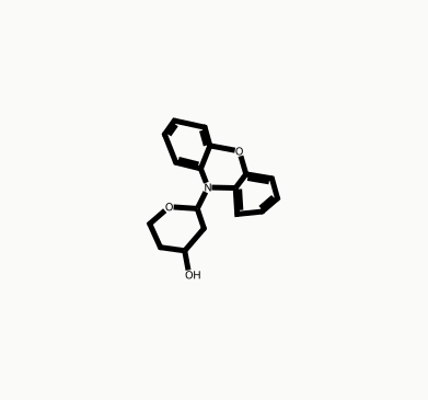 OC1CCOC(N2c3ccccc3Oc3ccccc32)C1